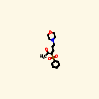 CC(=O)/C(=C\C=C\N1CCOCC1)S(=O)(=O)c1ccccc1